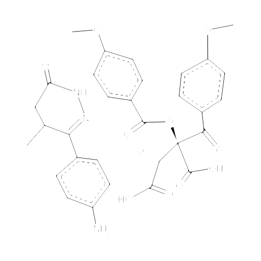 CC1CC(=O)NN=C1c1ccc(N)cc1.COc1ccc(C(=O)O[C@](C(=O)O)(C(=O)c2ccc(OC)cc2)[C@@H](O)C(=O)O)cc1